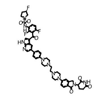 O=C1CCC(N2Cc3cc(N4CCN(CCN5CCN(c6ccc(-c7cnc8[nH]cc(C(=O)c9c(F)ccc(NS(=O)(=O)N%10CC[C@@H](F)C%10)c9F)c8c7)cc6)CC5)CC4)ccc3C2=O)C(=O)N1